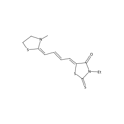 CCN1C(=O)C(=CC=CC=C2SCCN2C)SC1=S